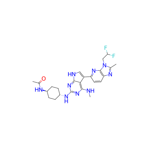 CNc1nc(N[C@H]2CC[C@H](NC(C)=O)CC2)nc2[nH]cc(-c3ccc4nc(C)n(CC(F)F)c4n3)c12